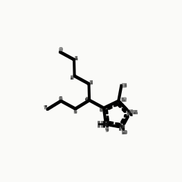 CCCCC(CCC)c1[nH]nnc1C